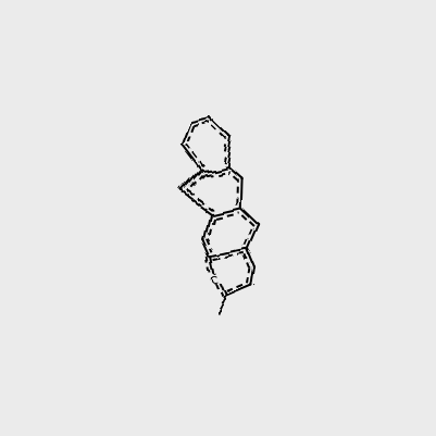 Cc1[c]cc2cc3cc4ccccc4cc3cc2c1